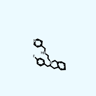 Fc1ccc(CC2Cc3ccccc3CN2CCNCc2ccncc2)cc1